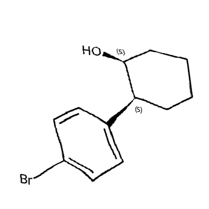 O[C@H]1CCCC[C@H]1c1ccc(Br)cc1